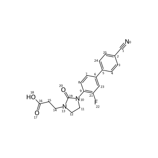 N#Cc1ccc(-c2ccc(N3CCN(CCC(=O)O)C3=O)c(F)c2)cc1